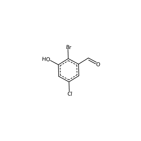 O=Cc1cc(Cl)cc(O)c1Br